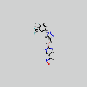 C/C(=N\O)c1cnc(OCc2cn(-c3ccc(F)c(C(F)F)c3)nn2)nc1